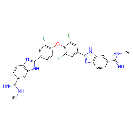 CC(C)NC(=N)c1ccc2nc(-c3ccc(Oc4c(F)cc(-c5nc6ccc(C(=N)NC(C)C)cc6[nH]5)cc4F)c(F)c3)[nH]c2c1